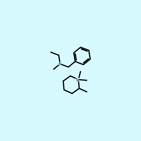 CC1CCCC[Si]1(C)C.CCN(C)Cc1ccccc1